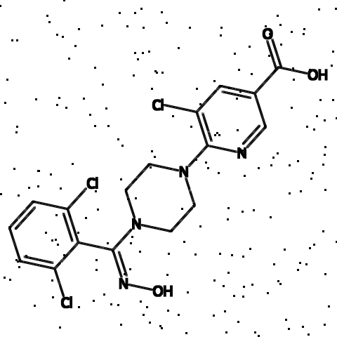 O=C(O)c1cnc(N2CCN(/C(=N\O)c3c(Cl)cccc3Cl)CC2)c(Cl)c1